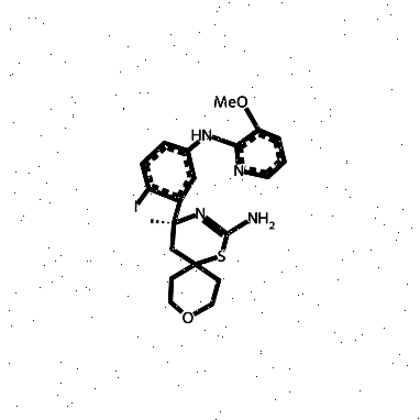 COc1cccnc1Nc1ccc(I)c([C@]2(C)CC3(CCOCC3)SC(N)=N2)c1